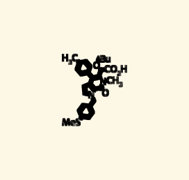 CSc1ccc(Cn2ccc3c(-c4ccc(C)cc4)c(C(OC(C)(C)C)C(=O)O)n(C)c(=O)c32)cc1